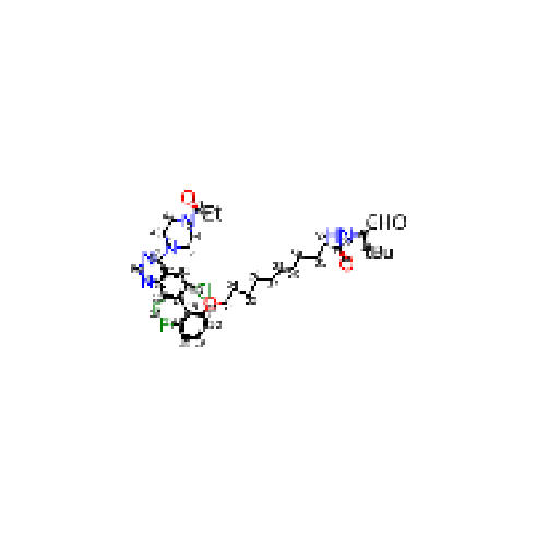 CCC(=O)N1CCN(c2ncnc3c(F)c(-c4c(F)cccc4OCCCCCCCCCCC(=O)NC(C=O)C(C)(C)C)c(Cl)cc23)CC1